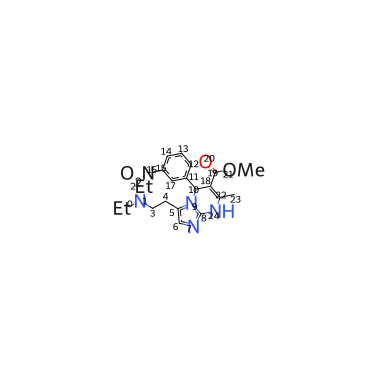 CCN(CC)CCc1cnc2n1C(c1cccc([N+](=O)[O-])c1)C(C(=O)OC)=C(C)N2